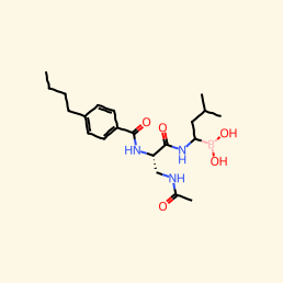 CCCCc1ccc(C(=O)N[C@@H](CNC(C)=O)C(=O)NC(CC(C)C)B(O)O)cc1